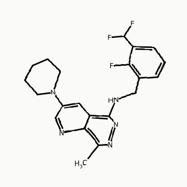 Cc1nnc(NCc2cccc(C(F)F)c2F)c2cc(N3CCCCC3)cnc12